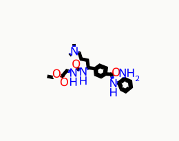 CCOC(=O)CNC(=O)NC(CCCN(C)C)c1ccc(C(=O)Nc2ccccc2N)cc1